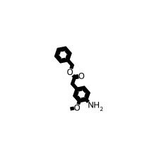 COc1cc(CC(=O)OCc2ccccc2)ccc1N